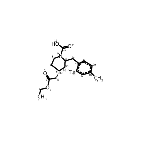 CCOC(=O)C[C@@H]1CCN(C(=O)O)C(Cc2ccc(C)cc2)[C@@H]1F